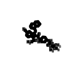 CC(C)(C)OC(=O)N[C@H]1CC[C@H](NC(=O)c2c(C(N)=O)c3ccc(C#N)cc3n2Cc2cccc3ccccc23)CC1